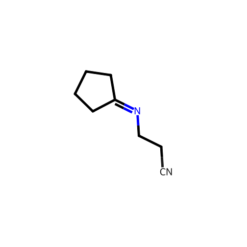 N#CCCN=C1CCCC1